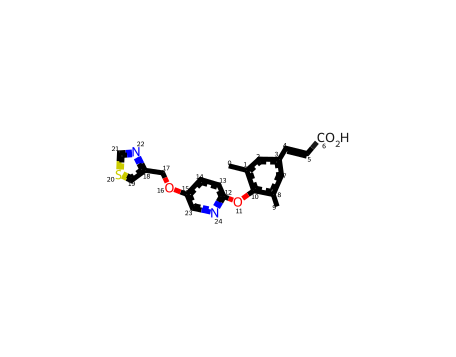 Cc1cc(C=CC(=O)O)cc(C)c1Oc1ccc(OCc2cscn2)cn1